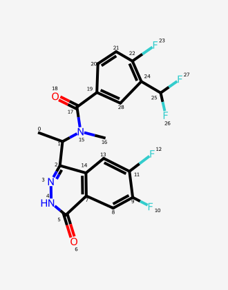 CC(c1n[nH]c(=O)c2cc(F)c(F)cc12)N(C)C(=O)c1ccc(F)c(C(F)F)c1